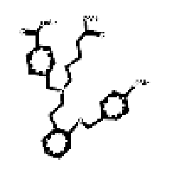 COC(=O)CCCCN(CCc1ccccc1OCc1ccc(OC)cc1)Cc1ccc(C(=O)OC)cc1